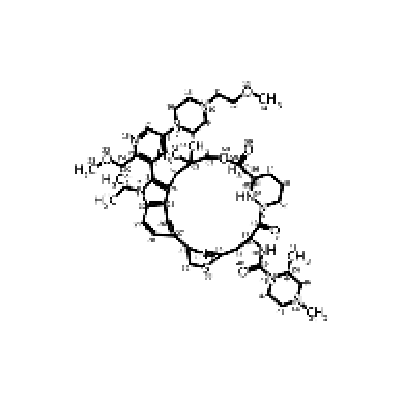 CCn1c(-c2cc(N3CCN(CCOC)CC3)cnc2[C@H](C)OC)c2c3cc(ccc31)C1CSC(=N1)C[C@H](NC(=O)N1CCN(C)C[C@@H]1C)C(=O)N1CCC[C@@](C)(N1)C(=O)OCC(C)(C)C2